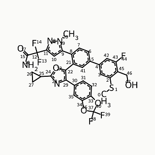 CSc1cc(-c2ccc(-c3cc(C(F)(F)C(N)=O)nn3C)c(-c3oc(C4CC4)nc3-c3ccc4c(c3)OC(F)(F)O4)c2)cc(F)c1CO